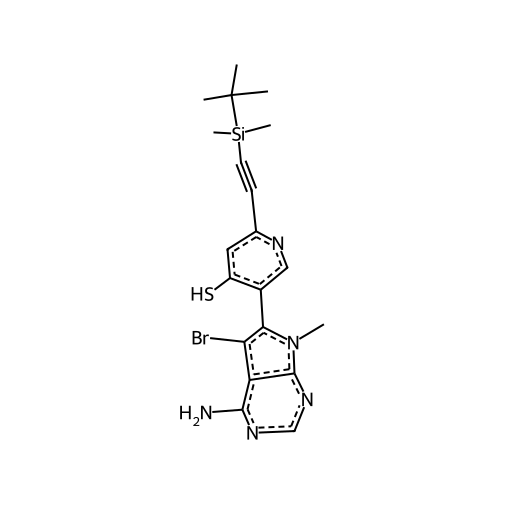 Cn1c(-c2cnc(C#C[Si](C)(C)C(C)(C)C)cc2S)c(Br)c2c(N)ncnc21